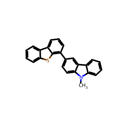 Cn1c2ccccc2c2cc(-c3cccc4c3sc3ccccc34)ccc21